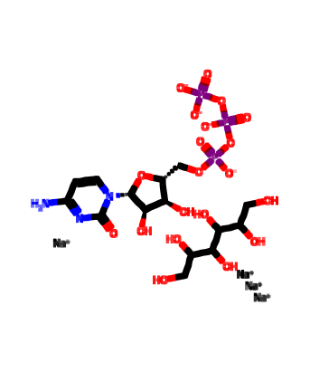 Nc1ccn([C@@H]2O[C@H](COP(=O)([O-])OP(=O)([O-])OP(=O)([O-])[O-])[C@@H](O)[C@H]2O)c(=O)n1.OCC(O)C(O)C(O)C(O)CO.[Na+].[Na+].[Na+].[Na+]